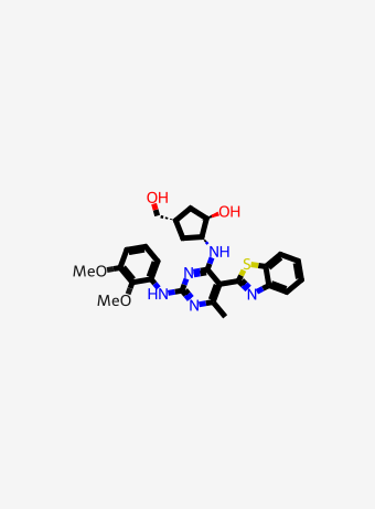 COc1cccc(Nc2nc(C)c(-c3nc4ccccc4s3)c(N[C@@H]3C[C@H](CO)C[C@H]3O)n2)c1OC